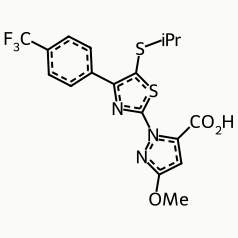 COc1cc(C(=O)O)n(-c2nc(-c3ccc(C(F)(F)F)cc3)c(SC(C)C)s2)n1